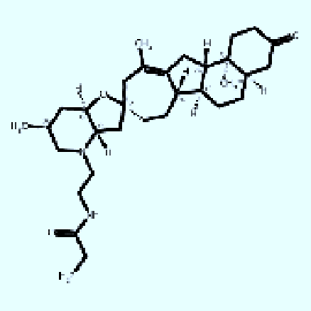 CC1=C2C[C@H]3[C@@H](CC[C@@H]4CC(=O)CC[C@@]43C)[C@@H]2CC[C@]2(C1)C[C@H]1[C@@H](C[C@H](C)CN1CCNC(=O)CP)O2